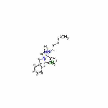 CCCCCNC(C)[N+](CC)(CC)Cc1ccccc1.[Cl-]